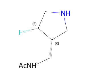 CC(=O)NC[C@H]1CNC[C@H]1F